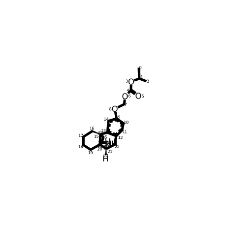 CC(C)OC(=O)OCOc1ccc2c(c1)[C@@]13CCCC[C@H]1[C@@H](C2)NCC3